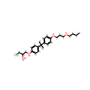 CCCCOCCCOc1ccc(C(C)(C)c2ccc(OCC(O)CCl)cc2)cc1